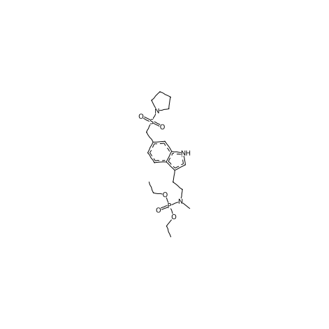 CCOP(=O)(OCC)N(C)CCc1c[nH]c2cc(CS(=O)(=O)N3CCCC3)ccc12